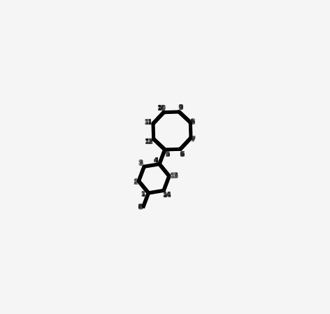 CC1CCC([C]2CCCCCCC2)CC1